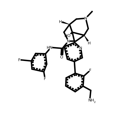 CN1C[C@@H]2CN(C(=O)Nc3cc(F)cc(F)c3)C[C@H](C1)C2(O)c1ccc(-c2cccc(CN)c2F)cn1